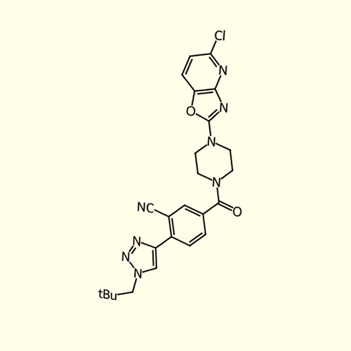 CC(C)(C)Cn1cc(-c2ccc(C(=O)N3CCN(c4nc5nc(Cl)ccc5o4)CC3)cc2C#N)nn1